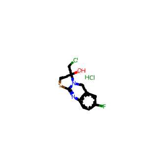 Cl.OC1(CCl)CSC2=Nc3ccc(F)cc3CN21